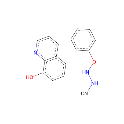 O=NNNOc1ccccc1.Oc1cccc2cccnc12